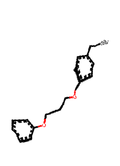 CC(C)(C)Cc1ccc(OCCCOc2ccccc2)cc1